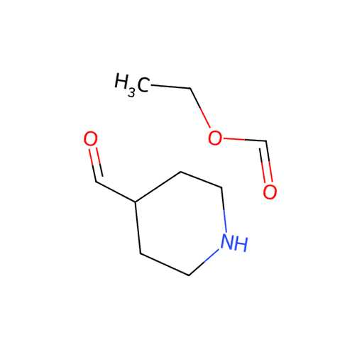 CCOC=O.O=CC1CCNCC1